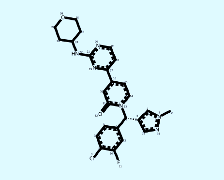 Cn1cc([C@H](c2ccc(Cl)c(F)c2)n2ccc(-c3ccnc(NC4CCOCC4)n3)cc2=O)cn1